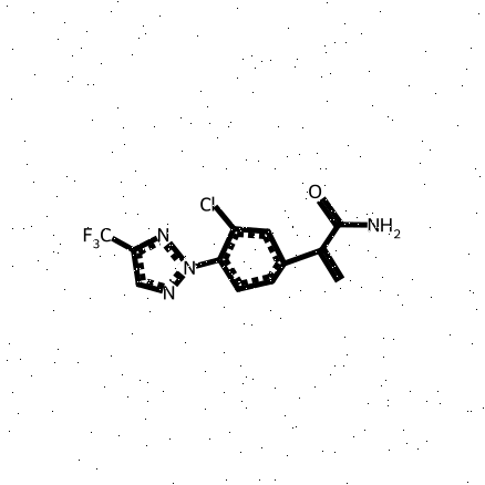 C=C(C(N)=O)c1ccc(-n2ncc(C(F)(F)F)n2)c(Cl)c1